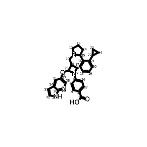 O=C(O)c1ccc(N2CC(CN3CCCC3c3ccccc3C3CC3)C2Oc2cnc3[nH]ccc3c2)cc1